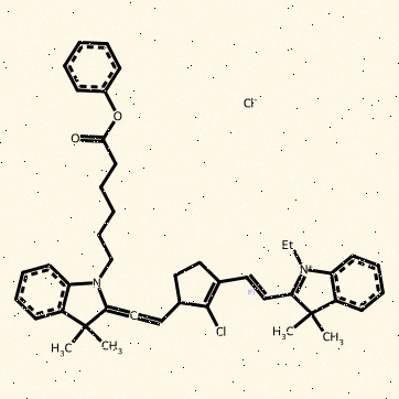 CC[N+]1=C(/C=C/C2=C(Cl)C(C=C=C3N(CCCCCC(=O)Oc4ccccc4)c4ccccc4C3(C)C)CC2)C(C)(C)c2ccccc21.[Cl-]